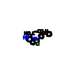 CC(Nc1c(Cl)ccc2c1CCNCC2)c1ccc(Oc2ccccc2)cc1.O=C(O)CCC(=O)O